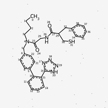 CCCCN(Cc1ccc(-c2ccccc2-c2nnn[nH]2)cc1)C(=O)CNC(=O)C(CS)Cc1ccccc1